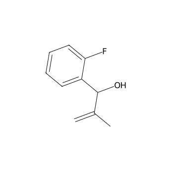 C=C(C)C(O)c1ccccc1F